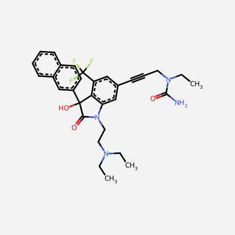 CCN(CC)CCN1C(=O)C(O)(c2ccc3ccccc3c2)c2c1cc(C#CCN(CC)C(N)=O)cc2C(F)(F)F